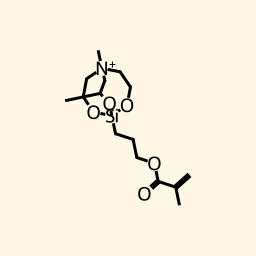 C=C(C)C(=O)OCCC[Si]12OCC[N+](C)(CCO1)CC(C)O2